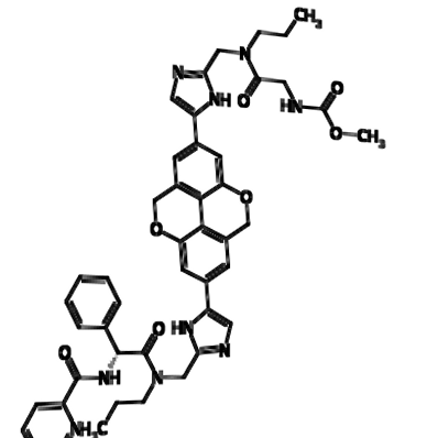 CCCN(Cc1ncc(-c2cc3c4c(c2)OCc2cc(-c5cnc(CN(CCC)C(=O)[C@H](NC(=O)c6ccccn6)c6ccccc6)[nH]5)cc(c2-4)OC3)[nH]1)C(=O)CNC(=O)OC